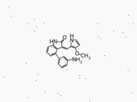 COc1cc[nH]c1C=C1C(=O)Nc2cccc(-c3cccc(N)c3)c21